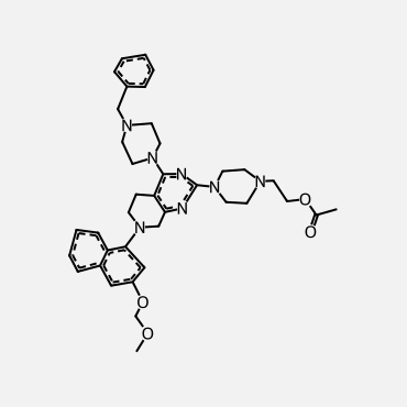 COCOc1cc(N2CCc3c(nc(N4CCN(CCOC(C)=O)CC4)nc3N3CCN(Cc4ccccc4)CC3)C2)c2ccccc2c1